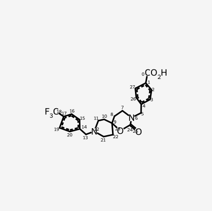 O=C(O)c1ccc(CN2CCC3(CCN(Cc4ccc(C(F)(F)F)cc4)CC3)OC2=O)cc1